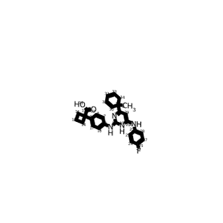 CC1(C2=NC(Nc3ccc(C4(C(=O)O)CCC4)cc3)NC(Nc3ccc(F)cc3)=C2)C=CC=CC1